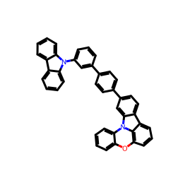 c1cc(-c2ccc(-c3ccc4c5cccc6c5n(c4c3)-c3ccccc3O6)cc2)cc(-n2c3ccccc3c3ccccc32)c1